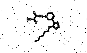 CCCCCCSc1nsnc1C1=CCCN(C)C1.O=C(O)C(=O)O